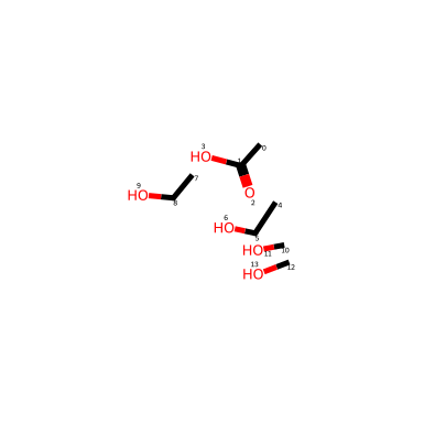 CC(=O)O.CCO.CCO.CO.CO